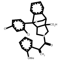 C=C(C(=O)N1CC2C3(c4ccc(Cl)cc4Cl)CCC(c4ccccc43)C2(C(=O)O)C1)c1ccccc1OC